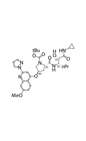 CCC[C@H](NC(=O)[C@@H]1C[C@@H](Oc2cc(-n3cccn3)nc3cc(OC)ccc23)CN1C(=O)OC(C)(C)C)[C@H](O)C(=O)NC1CC1